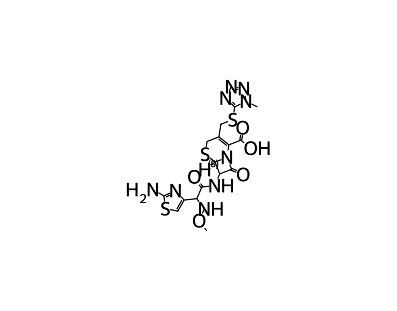 CONC(C(=O)NC1C(=O)N2C(C(=O)O)=C(CSc3nnnn3C)CS[C@@H]12)c1csc(N)n1